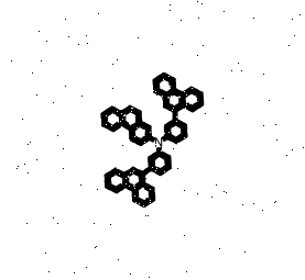 c1cc(-c2cc3ccccc3c3ccccc23)cc(N(c2cccc(-c3cc4ccccc4c4ccccc34)c2)c2ccc3c(ccc4ccccc43)c2)c1